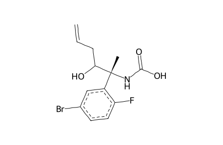 C=CCC(O)[C@](C)(NC(=O)O)c1cc(Br)ccc1F